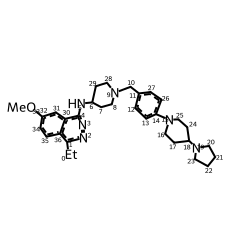 CCc1nnc(NC2CCN(Cc3ccc(N4CCC(N5CCCC5)CC4)cc3)CC2)c2cc(OC)ccc12